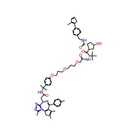 CC1=C(c2ccc(CNC(=O)[C@@H]3CC(O)CC3C(=O)[C@@H](NC(=O)COCCCOCCCOc3ccc(C(C)(C)NC(=O)CC4N=C(c5ccc(C)cc5)C5=C(CC(C)=C5C)n5c(C)nnc54)cc3)C(C)(C)C)cc2)CC=C1